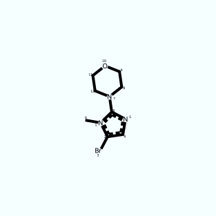 Cn1c(Br)cnc1N1CCOCC1